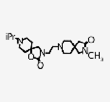 CC(C)N1CCC2(CC1)CN(CCN1CCC3(CC1)CC(=O)N(C)C3)C(=O)O2